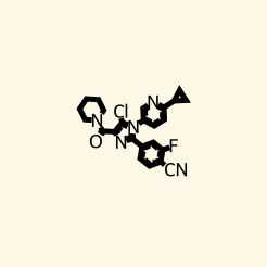 N#Cc1ccc(-c2nc(C(=O)N3CCCCC3)c(Cl)n2-c2ccc(C3CC3)nc2)cc1F